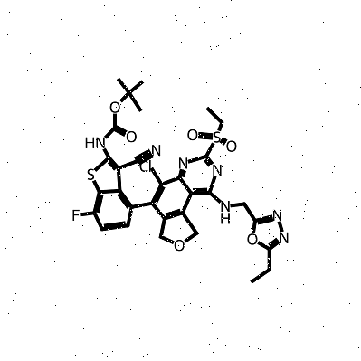 CCc1nnc(CNc2nc(S(=O)(=O)CC)nc3c(Cl)c(-c4ccc(F)c5sc(NC(=O)OC(C)(C)C)c(C#N)c45)c4c(c23)COC4)o1